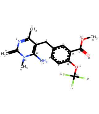 C=C1N=C(C)C(Cc2ccc(OC(F)(F)F)c(C(=O)OC)c2)=C(N)N1C